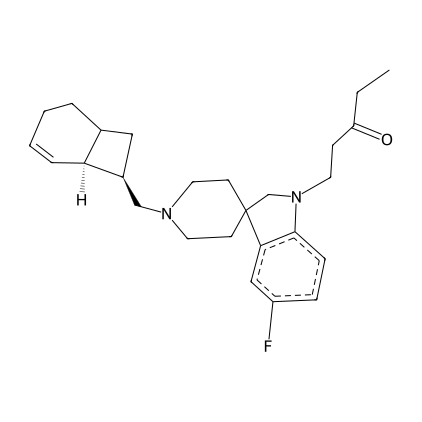 CCC(=O)CCN1CC2(CCN(C[C@@H]3CC4CCC=C[C@@H]43)CC2)c2cc(F)ccc21